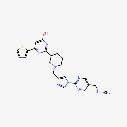 CNCc1cnc(-n2cnc(CN3CCCC(c4nc(O)cc(-c5cccs5)n4)C3)c2)nc1